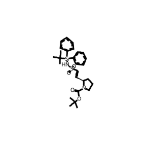 CC(C)(C)OC(=O)N1CCC[C@@H]1/C=C/S(=O)(=O)N[Si](c1ccccc1)(c1ccccc1)C(C)(C)C